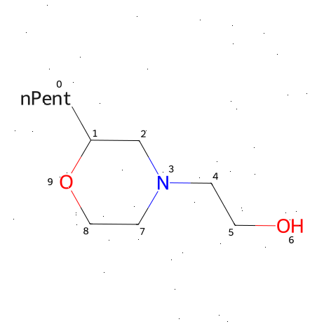 CCCCCC1CN(CCO)CCO1